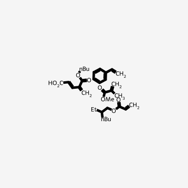 C=C(C)C(=O)OC.C=C(C=CC(=O)O)C(=O)OCCCC.C=CC(=O)OCC(CC)CCCC.C=Cc1ccccc1